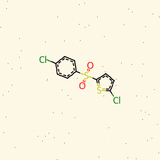 O=S(=O)(c1ccc(Cl)cc1)c1ccc(Cl)s1